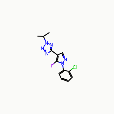 CC(C)n1nnc(-c2cnn(-c3ccccc3Cl)c2I)n1